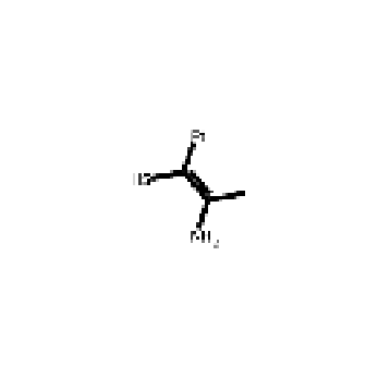 CC/C(S)=C(\C)N